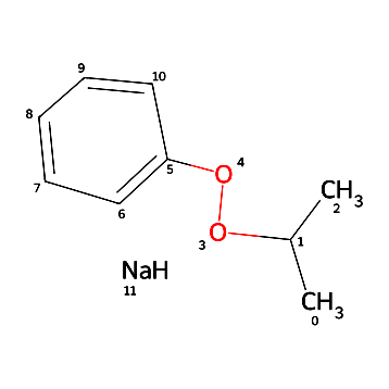 CC(C)OOc1ccccc1.[NaH]